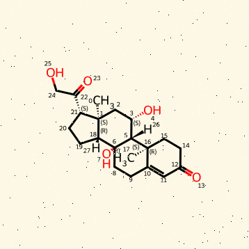 C[C@]12C[C@H](O)[C@H]3[C@@](O)(CCC4=CC(=O)CC[C@@]43C)[C@@H]1CC[C@@H]2C(=O)CO